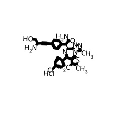 Cc1sc2c(c1C)C(c1ccc(Cl)cc1)=N[C@@H](C(C(N)=O)c1ccc(C#CC(N)CO)cc1)c1nnc(C)n1-2.Cl